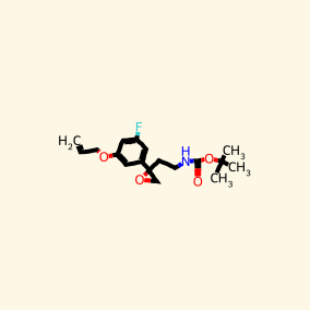 C=CCOc1cc(F)cc(C2(CCNC(=O)OC(C)(C)C)CO2)c1